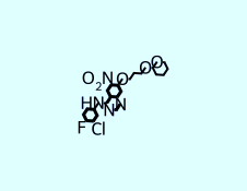 O=[N+]([O-])c1cc2c(Nc3ccc(F)c(Cl)c3)ncnc2cc1OCCCOC1CCCCO1